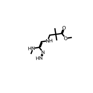 CN/C(=C/NCC(C)(C)C(=O)OC)N=N